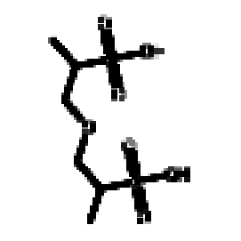 CC(COCC(C)S(=O)(=O)O)S(=O)(=O)O